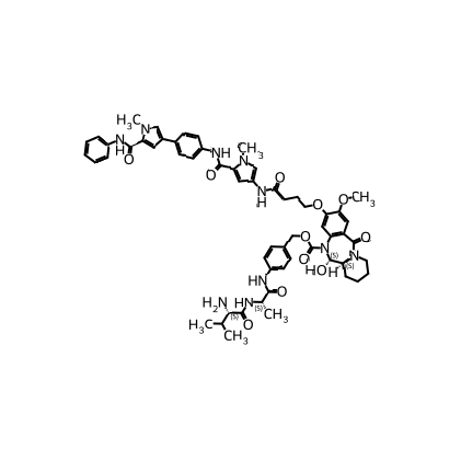 COc1cc2c(cc1OCCCC(=O)Nc1cc(C(=O)Nc3ccc(-c4cc(C(=O)Nc5ccccc5)n(C)c4)cc3)n(C)c1)N(C(=O)OCc1ccc(NC(=O)[C@H](C)NC(=O)[C@@H](N)C(C)C)cc1)[C@@H](O)[C@@H]1CCCCN1C2=O